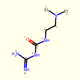 CCN(CC)CCNC(=O)NC(=N)N